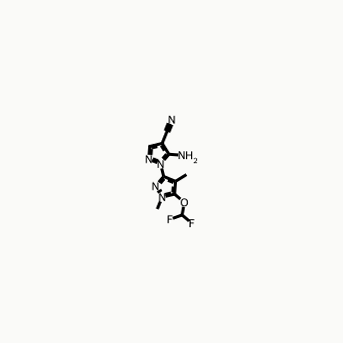 Cc1c(-n2ncc(C#N)c2N)nn(C)c1OC(F)F